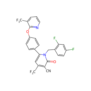 N#Cc1c(C(F)(F)F)cc(-c2ccc(Oc3ncccc3C(F)(F)F)cc2)n(Cc2ccc(F)cc2F)c1=O